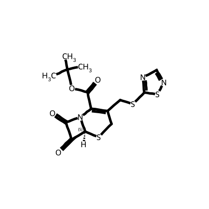 CC(C)(C)OC(=O)C1=C(CSc2ncns2)CS[C@H]2C(=O)C(=O)N12